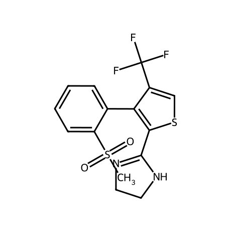 CS(=O)(=O)c1ccccc1-c1c(C(F)(F)F)csc1C1=NCCN1